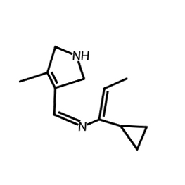 CC=C(/N=C\C1=C(C)CNC1)C1CC1